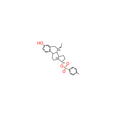 CC[C@@H]1Cc2cc(O)ccc2C2CC[C@@]3(C)C(CC[C@@H]3OS(=O)(=O)c3ccc(C)cc3)C21